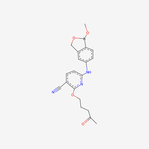 COB1OCc2cc(Nc3ccc(C#N)c(OCCCC(C)=O)n3)ccc21